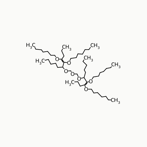 CCCCCCCOC(CCC)=C(OCCCCCCC)C(CCCCC)OCOCOC(CCCCC)C(OCCCCCCC)=C(CCC)OCCCCCCC